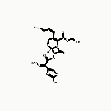 CO/N=C(\C(=O)N[C@@H]1C(=O)N2C(C(=O)OCOC(C)=O)=C(/C=C\COC(C)=O)CS[C@H]12)c1csc(N)n1